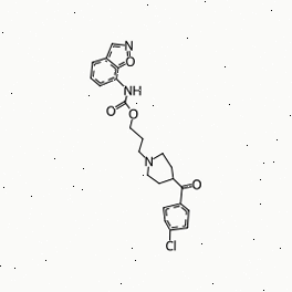 O=C(Nc1cccc2cnoc12)OCCCN1CCC(C(=O)c2ccc(Cl)cc2)CC1